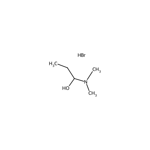 Br.CCC(O)N(C)C